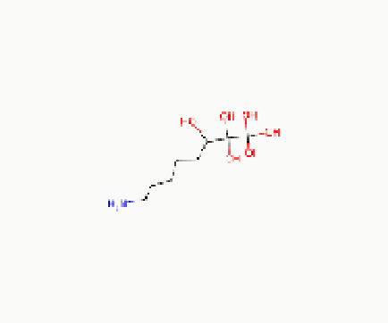 NCCCCCC(O)C(O)(O)C(O)(O)O